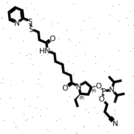 CC[C@@H]1C[C@@H](OP(OCCC#N)N(C(C)C)C(C)C)CN1C(=O)CCCCCNC(=O)CCSSc1ccccn1